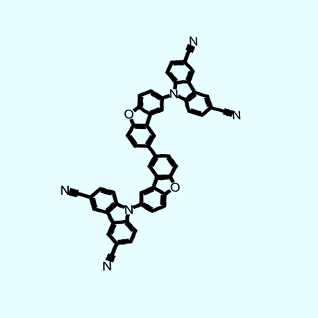 N#Cc1ccc2c(c1)c1cc(C#N)ccc1n2-c1ccc2oc3ccc(-c4ccc5oc6ccc(-n7c8ccc(C#N)cc8c8cc(C#N)ccc87)cc6c5c4)cc3c2c1